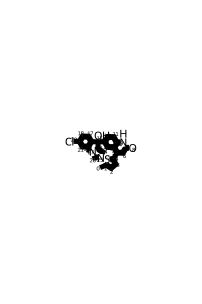 Cc1ccc(-c2cc(=O)[nH]c3ccc(C(O)(c4ccc(Cl)cc4)c4cncn4C)cc23)s1